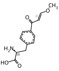 CO/C=C/C(=O)c1ccc(C[C@H](N)C(=O)O)cc1